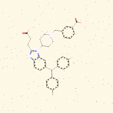 COC(=O)c1cccc(CN2CCC(n3c(CCC(=O)O)nc4ccc(C(c5ccc(Cl)cc5)c5ccc(Cl)cc5)cc43)CC2)c1